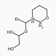 CCC(OC(O)CO)[SiH]1CCCO[SiH2]1